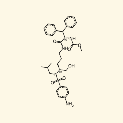 COC(=O)N[C@H](C(=O)NCCC[C@@H](CO)N(CC(C)C)S(=O)(=O)c1ccc(N)cc1)C(c1ccccc1)c1ccccc1